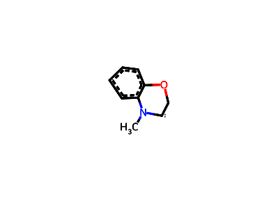 CN1[C]COc2ccccc21